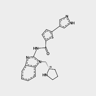 O=C(Nc1nc2ccccc2n1C[C@@H]1CCCN1)c1ccc(-c2cn[nH]c2)s1